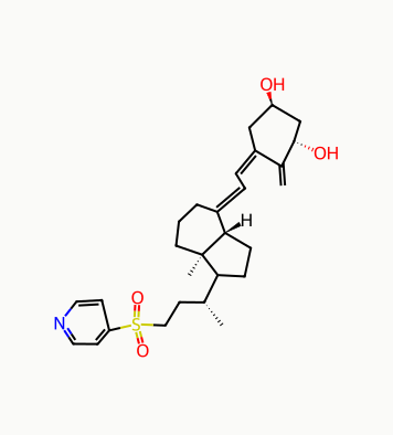 C=C1/C(=C\C=C2/CCC[C@]3(C)C([C@H](C)CCS(=O)(=O)c4ccncc4)CC[C@@H]23)C[C@@H](O)C[C@@H]1O